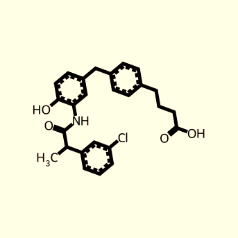 CC(C(=O)Nc1cc(Cc2ccc(CCCC(=O)O)cc2)ccc1O)c1cccc(Cl)c1